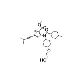 COC(=O)c1sc(C#CC(C)C)cc1N(C(=O)C1CCC(C)CC1)[C@H]1CC[C@@H](OCCO)CC1